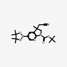 CC(C)(C)OC(=O)N1CC(C)(CC#N)c2cc(B3OC(C)(C)C(C)(C)O3)cnc21